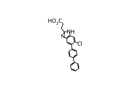 O=C(O)CCc1nc2cc(-c3ccc(-c4ccccc4)cc3)c(Cl)cc2[nH]1